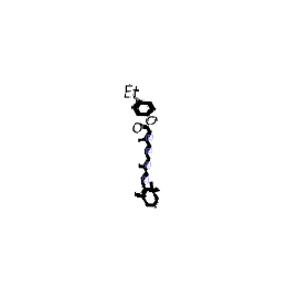 CCc1ccc(OC(=O)/C=C(C)/C=C/C=C(C)/C=C/C2=C(C)CCCC2(C)C)cc1